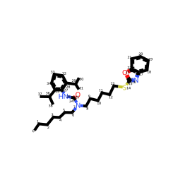 CCCCCCCN(CCCCCCSc1nc2ccccc2o1)C(=O)Nc1c(C(C)C)cccc1C(C)C